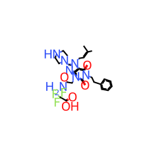 CC(C)=CCn1c(N2CCNCC2)nc2c1c(=O)n(CCc1ccccc1)c(=O)n2CC(N)=O.O=C(O)C(F)(F)F